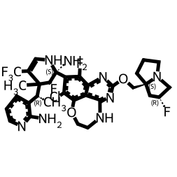 C[C@H](c1cccnc1N)C1(C)C(C(F)(F)F)=CN[C@@](N)(c2c(Cl)c3c4c(nc(OC[C@@]56CCCN5C[C@H](F)C6)nc4c2F)NCCO3)C1F